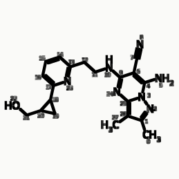 Cc1nn2c(N)c(C#N)c(NCCc3cccc(C4CC4CO)n3)nc2c1C